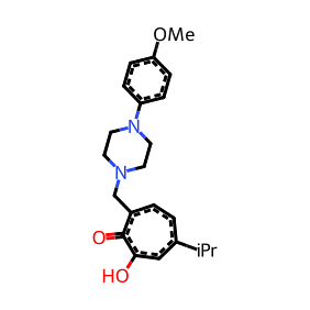 COc1ccc(N2CCN(Cc3ccc(C(C)C)cc(O)c3=O)CC2)cc1